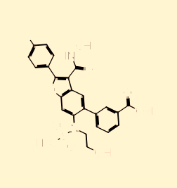 CNC(=O)c1c(-c2ccc(F)cc2)oc2cc(N(CCO)S(C)(=O)=O)c(-c3cccc(C(=O)O)c3)cc12